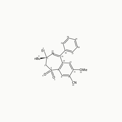 CCCC[C@]1(CC)CS(=O)(=O)c2cc(C#N)c(OC)cc2C(c2ccccc2)=N1